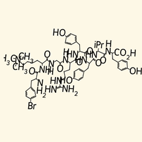 CC(C)C(NC(=O)C(Cc1ccc(O)cc1)NC(=O)C(Cc1ccc(O)cc1)NC(=O)C(CCCNC(=N)N)NC(=O)CNC(=O)C(CCCC[N+](C)(C)C)NC(=O)C(N)Cc1ccc(Br)cc1)C(=O)NC(Cc1ccc(O)cc1)C(=O)O